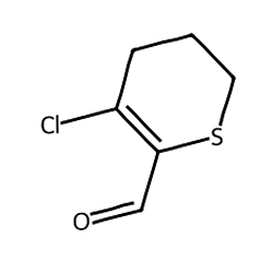 O=CC1=C(Cl)CCCS1